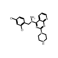 NN(Cc1ccc(Cl)cc1Cl)c1nc(N2CCNCC2)nc2ncccc12